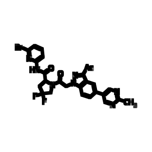 CC(=O)c1nn(CC(=O)N2CC(F)(F)CC2C(=O)Nc2cccc(Br)n2)c2ccc(-c3cnc(C)nc3)cc12